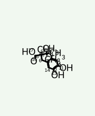 CC(C)(C)[C@@](C)(Cc1ccc(O)c(O)c1)C(=O)O